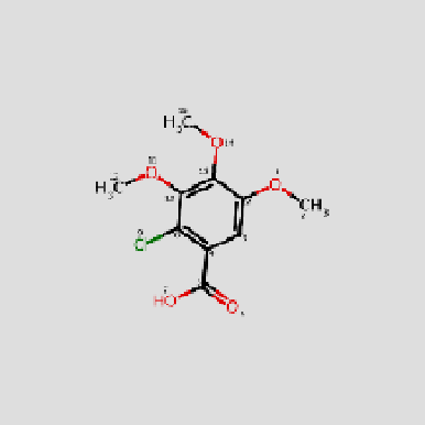 COc1cc(C(=O)O)c(Cl)c(OC)c1OC